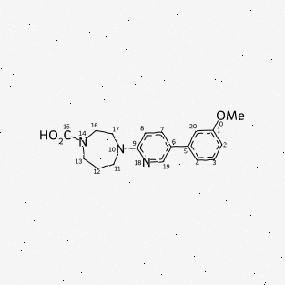 COc1cccc(-c2ccc(N3CCCN(C(=O)O)CC3)nc2)c1